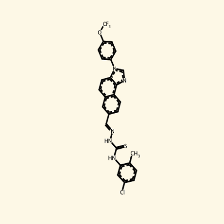 Cc1ccc(Cl)cc1NC(=S)N/N=C/c1ccc2c(ccc3c2ncn3-c2ccc(OC(F)(F)F)cc2)c1